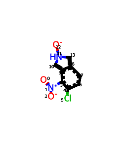 O=[N+]([O-])c1c(Cl)ccc2c1=C[NH+]([O-])C=2